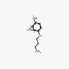 CCCCOc1ccc(O)c2c1O2